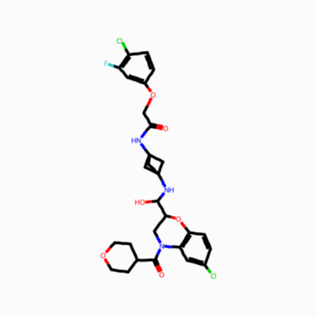 O=C(COc1ccc(Cl)c(F)c1)NC12CC(NC(O)C3CN(C(=O)C4CCOCC4)c4cc(Cl)ccc4O3)(C1)C2